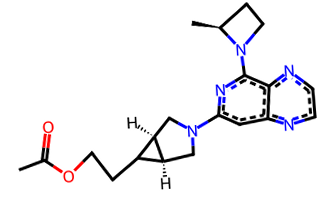 CC(=O)OCCC1[C@H]2CN(c3cc4nccnc4c(N4CC[C@@H]4C)n3)C[C@@H]12